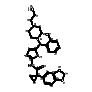 O=C(Nc1ncc(C(c2ccccc2Cl)N2CCN(CCO)CC2)s1)C1(c2ccc3c(c2)OCO3)CC1